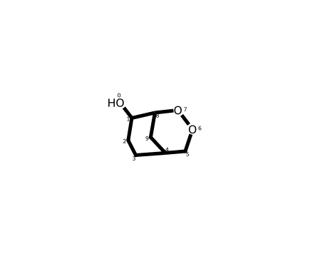 OC1CCC2COOC1C2